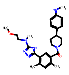 CNc1ccc(C2CCN(C(=O)c3cc(-c4nnc(N(C)CCOC)[nH]4)c(C)cc3C)CC2)cc1